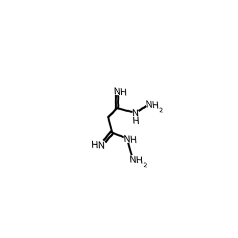 N=C(CC(=N)NN)NN